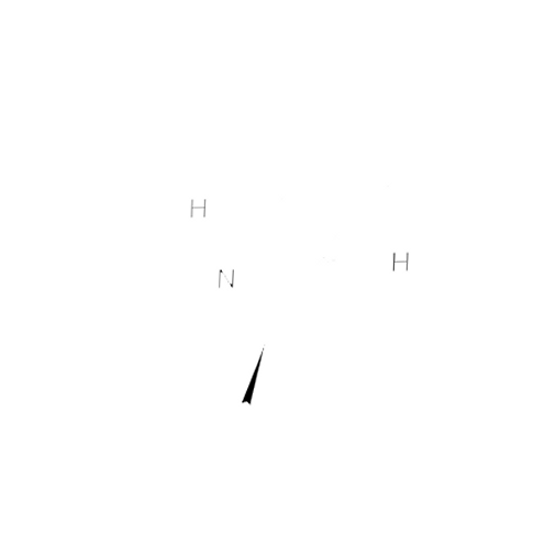 CC(C)[C@@H]1C[C@@H]2CCCC[C@@H]2N1C(C)C